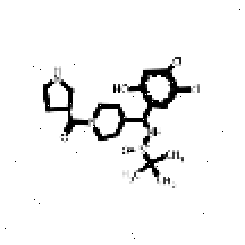 CC(C)(C)[S@+]([O-])NC(c1cc(Cl)c(Cl)cc1O)C1CCN(C(=O)[C@H]2CCNC2)CC1